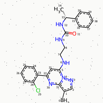 Bc1cnn2c(NCCNC(=O)N[C@H](C)c3ccccc3)cc(-c3ccccc3Cl)nc12